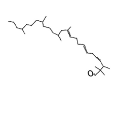 CCCC(C)CCCC(C)CCCC(C)CC(C)=CCCC=CCC=CC(C)C(C)(C)C=O